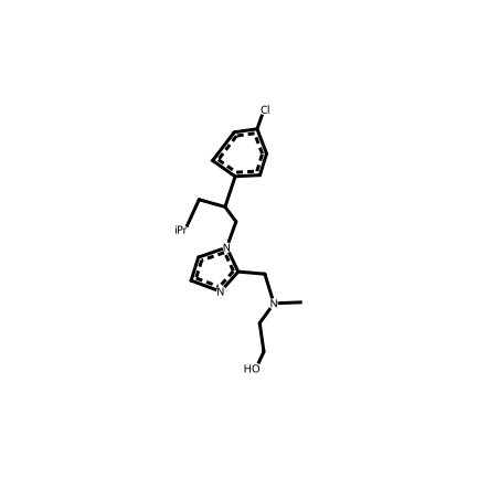 CC(C)CC(Cn1ccnc1CN(C)CCO)c1ccc(Cl)cc1